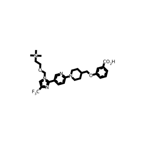 C[Si](C)(C)CCOCn1cc(C(F)(F)F)nc1-c1ccc(N2CCC(COc3cccc(C(=O)O)c3)CC2)nc1